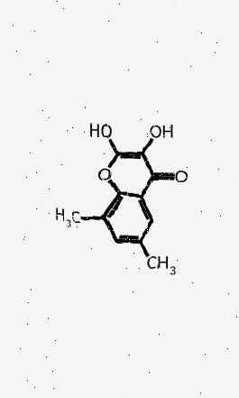 Cc1cc(C)c2oc(O)c(O)c(=O)c2c1